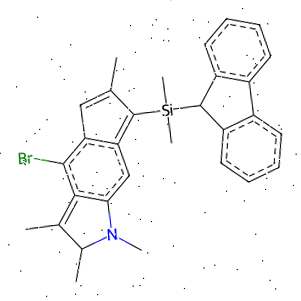 CC1=Cc2c(Br)c3c(cc2=C1[Si](C)(C)C1c2ccccc2-c2ccccc21)N(C)C(C)C=3C